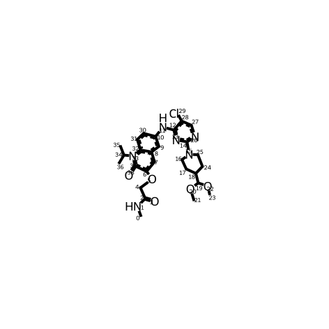 CNC(=O)COc1cc2cc(Nc3nc(N4CCC(C(OC)OC)CC4)ncc3Cl)ccc2n(C(C)C)c1=O